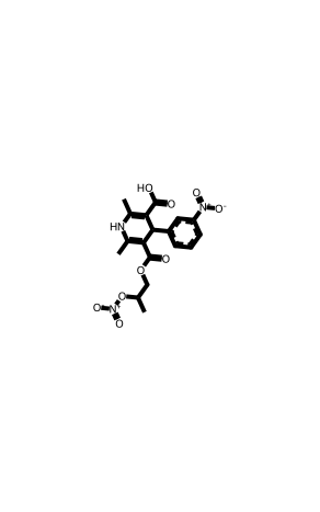 CC1=C(C(=O)O)C(c2cccc([N+](=O)[O-])c2)C(C(=O)OCC(C)O[N+](=O)[O-])=C(C)N1